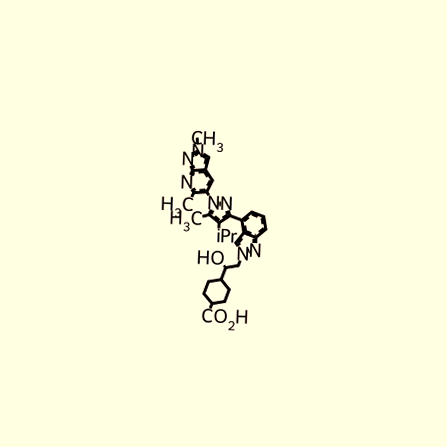 Cc1nc2nn(C)cc2cc1-n1nc(-c2cccc3nn(C[C@H](O)C4CCC(C(=O)O)CC4)cc23)c(C(C)C)c1C